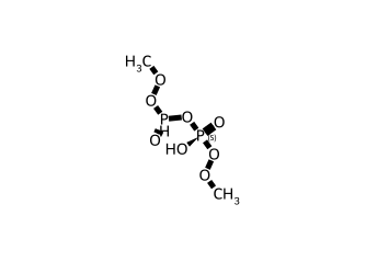 COO[PH](=O)O[P@@](=O)(O)OOC